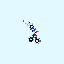 CC[S+]([O-])c1ccc(CNC(=O)N2CC(c3ccccc3)C(c3ccccc3)C2)cc1